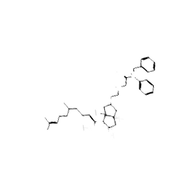 CC(C)=CCCC(C)CCC=C(O)[C@H]1[C@@H]2C[C@@H](CCOCC(=O)N(Cc3ccccc3)c3ccccc3)C[C@H]2C[C@@H]1O